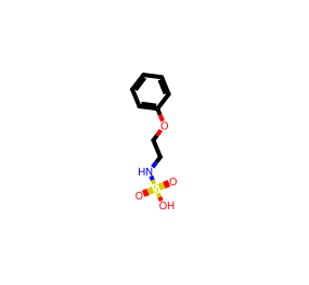 O=S(=O)(O)NCCOc1ccccc1